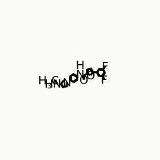 CNC1CCN(c2ccc(NC(=O)c3ccc(-c4cc(F)cc(F)c4)o3)cc2)C1